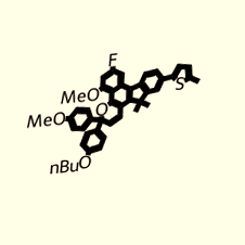 CCCCOc1ccc(C2(c3ccc(OC)cc3)C=Cc3c4c(c5cc(F)cc(OC)c5c3O2)-c2ccc(-c3ccc(C)s3)cc2C4(C)C)cc1